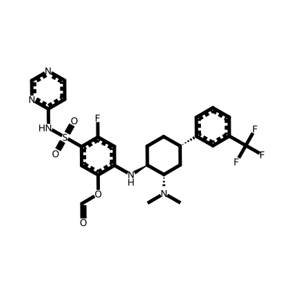 CN(C)[C@H]1C[C@@H](c2cccc(C(F)(F)F)c2)CC[C@@H]1Nc1cc(F)c(S(=O)(=O)Nc2ccncn2)cc1OC=O